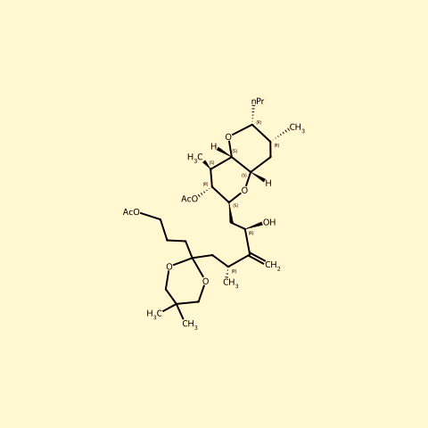 C=C([C@H](C)CC1(CCCOC(C)=O)OCC(C)(C)CO1)[C@H](O)C[C@@H]1O[C@H]2C[C@@H](C)[C@@H](CCC)O[C@H]2[C@H](C)[C@H]1OC(C)=O